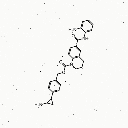 Nc1ccccc1NC(=O)c1ccc2c(c1)CCCN2C(=O)OCc1ccc(C2CC2N)cc1